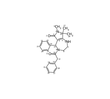 CN1C(=O)C2=C(NCCN(C(=O)Cc3ccccc3)C2c2ccccc2)C1(C)C